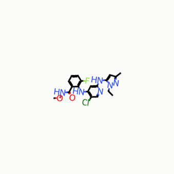 CCn1nc(C)cc1Nc1cc(Nc2c(F)cccc2C(=O)NOC)c(Cl)cn1